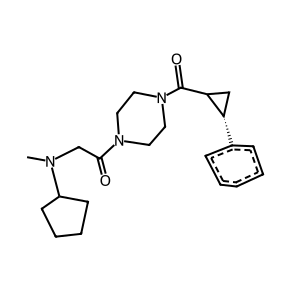 CN(CC(=O)N1CCN(C(=O)C2C[C@@H]2c2ccccc2)CC1)C1CCCC1